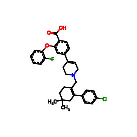 CC1(C)CCC(CN2CC=C(c3ccc(C(=O)O)c(Oc4ccccc4F)c3)CC2)=C(c2ccc(Cl)cc2)C1